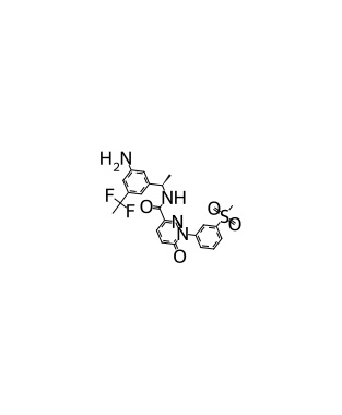 C[C@@H](NC(=O)c1ccc(=O)n(-c2cccc(S(C)(=O)=O)c2)n1)c1cc(N)cc(C(C)(F)F)c1